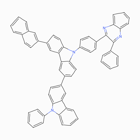 c1ccc(-c2nc3ccccc3nc2-c2ccc(-n3c4ccc(-c5ccc6ccccc6c5)cc4c4cc(-c5ccc6c(c5)c5ccccc5n6-c5ccccc5)ccc43)cc2)cc1